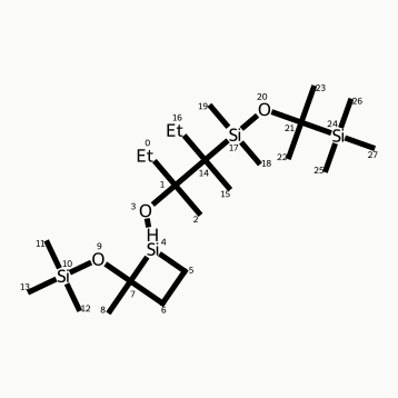 CCC(C)(O[SiH]1CCC1(C)O[Si](C)(C)C)C(C)(CC)[Si](C)(C)OC(C)(C)[Si](C)(C)C